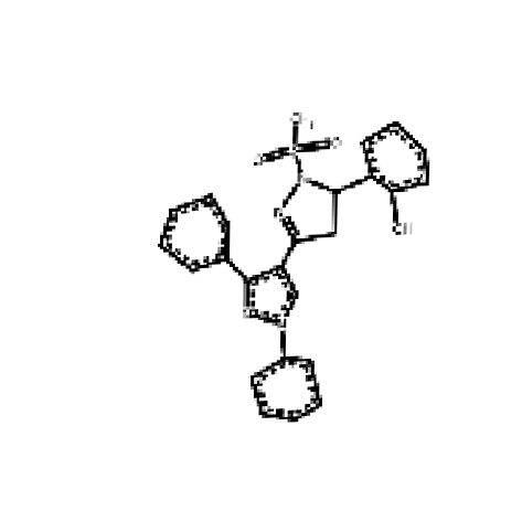 CS(=O)(=O)N1N=C(c2cn(-c3ccccc3)nc2-c2ccccc2)CC1c1ccccc1O